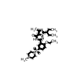 CCOc1ccc(S(=O)(=O)N2CCN(C)CC2)cc1-c1nn2c(C(CC)CC)nc(C)c2c(=O)[nH]1